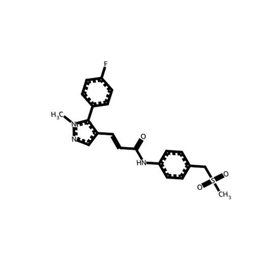 Cn1ncc(C=CC(=O)Nc2ccc(CS(C)(=O)=O)cc2)c1-c1ccc(F)cc1